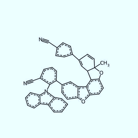 CC12C=CC(c3ccc(C#N)cc3)=CC1c1c(ccc3oc4ccc(-c5cccc(C#N)c5-n5c6ccccc6c6ccccc65)cc4c13)O2